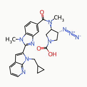 CN(C(=O)c1ccc2c(c1)nc(-c1cc3cccnc3n1CC1CC1)n2C)[C@@H]1CN(C(=O)O)C[C@H]1N=[N+]=[N-]